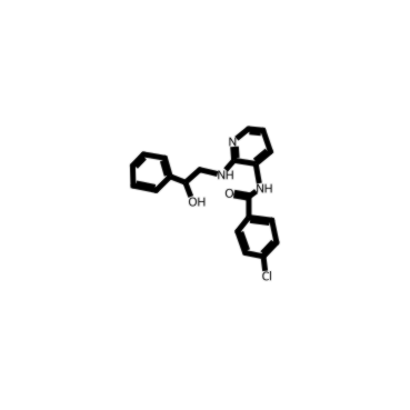 O=C(Nc1cccnc1NCC(O)c1ccccc1)c1ccc(Cl)cc1